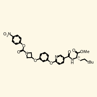 COC(=O)[C@H](CCC(C)(C)C)NC(=O)c1ccc(Oc2cccc(OC3CN(C(=O)Oc4ccc([N+](=O)[O-])cc4)C3)c2)nc1